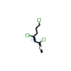 C=C=C(Cl)/C=C(/Cl)CCCCl